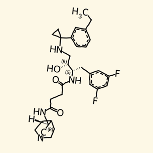 CCc1cccc(C2(NC[C@@H](O)[C@H](Cc3cc(F)cc(F)c3)NC(=O)CCC(=O)N[C@H]3CN4CCC3CC4)CC2)c1